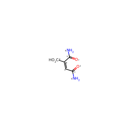 NC(=O)/C=C(\C(N)=O)C(=O)O